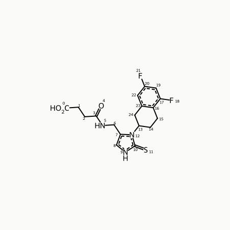 O=C(O)CCC(=O)NCc1c[nH]c(=S)n1C1CCc2c(F)cc(F)cc2C1